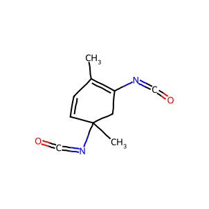 CC1=C(N=C=O)CC(C)(N=C=O)C=C1